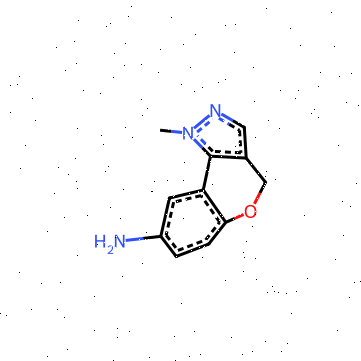 Cn1ncc2c1-c1cc(N)ccc1OC2